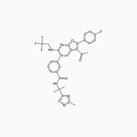 CC(=O)c1c(-c2ccc(F)cc2)oc2nc(NCC(F)(F)F)c(-c3cccc(C(=O)NC(C)(C)c4nc(C)no4)c3)cc12